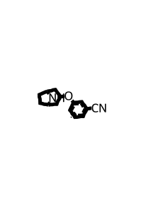 N#Cc1c[c]cc(OC2CC3CCC(C2)N3)c1